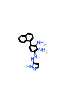 Nc1c(N=Nc2ccn[nH]2)ccc(-c2cccc3ccccc23)c1N